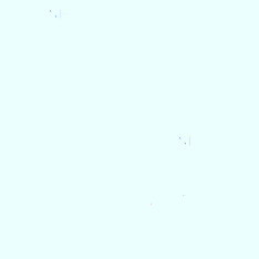 C=CC(=O)Nc1ccc(CN)cc1